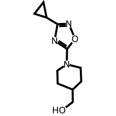 OCC1CCN(c2nc(C3CC3)no2)CC1